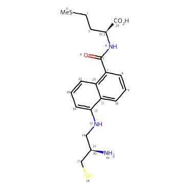 CSCC[C@H](NC(=O)c1cccc2c(NC[C@@H](N)CS)cccc12)C(=O)O